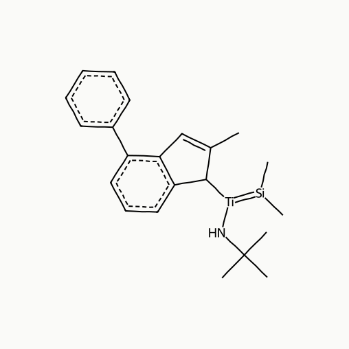 CC1=Cc2c(-c3ccccc3)cccc2[CH]1[Ti]([NH]C(C)(C)C)=[Si](C)C